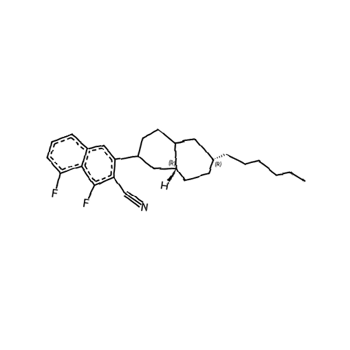 CCCCCC[C@@H]1CC[C@@H]2CC(c3cc4cccc(F)c4c(F)c3C#N)CCC2C1